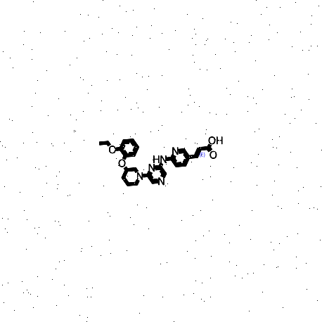 CCOc1ccccc1OC1CCCN(c2cncc(Nc3ccc(/C=C/C(=O)O)cn3)n2)C1